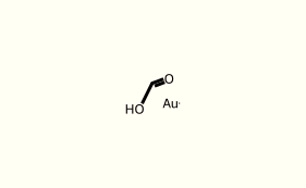 O=CO.[Au]